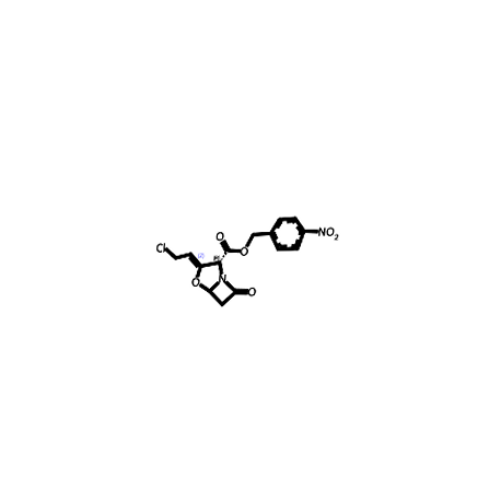 O=C(OCc1ccc([N+](=O)[O-])cc1)[C@H]1/C(=C/CCl)OC2CC(=O)N21